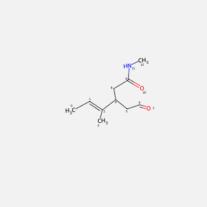 C/C=C(\C)C(CC=O)CC(=O)NC